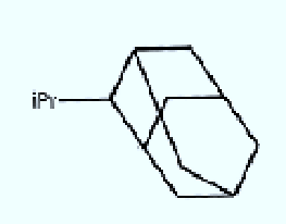 CC(C)[C]1[C]2CC3CC(C2)CC1C3